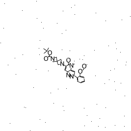 COCOc1ccccc1-c1cc2c(cc(N3CC4(CN(C(=O)OC(C)(C)C)C4)C3)c(=O)n2C)nn1